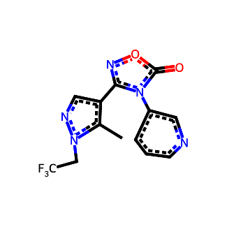 Cc1c(-c2noc(=O)n2-c2cccnc2)cnn1CC(F)(F)F